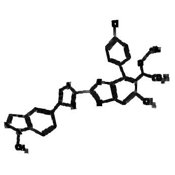 Cc1cc2nc(-c3nc(-c4ccc5c(cnn5C)c4)cs3)sc2c(-c2ccc(Cl)cc2)c1C(OC(C)(C)C)C(=O)O